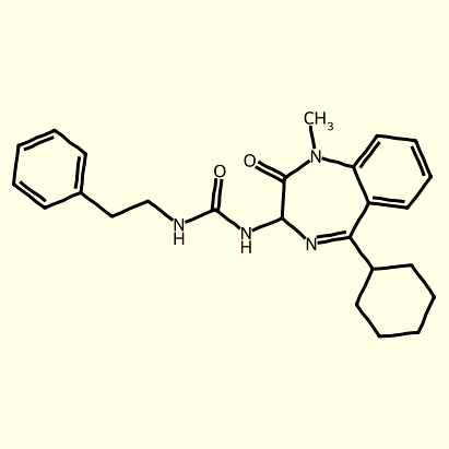 CN1C(=O)C(NC(=O)NCCc2ccccc2)N=C(C2CCCCC2)c2ccccc21